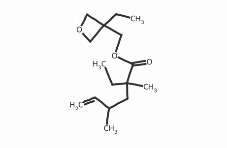 C=CC(C)CC(C)(CC)C(=O)OCC1(CC)COC1